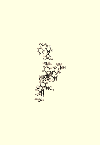 C=C(C)c1ccccc1[C@@H]1CCCN1C1CC2(CCN(c3ccc(C(=O)NS(=O)(=O)c4cc5c(c([N+](=O)[O-])c4)N[C@@H](C4CCOCC4)CO5)c(N4c5cc6cc[nH]c6nc5O[C@@H]5COC[C@@H]54)c3)CC2)C1